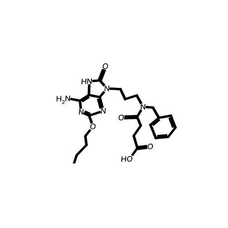 CCCCOc1nc(N)c2[nH]c(=O)n(CCCN(Cc3ccccc3)C(=O)CCC(=O)O)c2n1